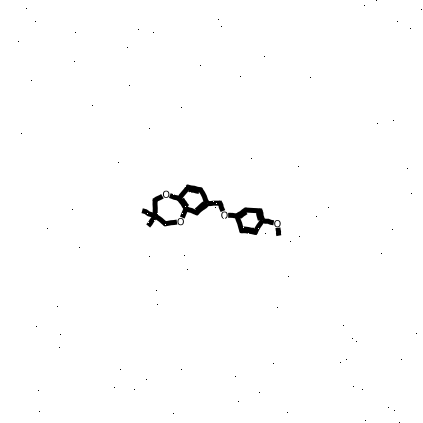 COc1ccc(OCc2ccc3c(c2)OCC(C)(C)CO3)cc1